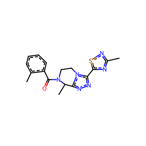 Cc1nsc(-c2nnc3n2CCN(C(=O)c2ccccc2C)C3C)n1